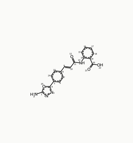 Nc1nnc(-c2ccc(/C=C/C(=O)Nc3ccccc3C(=O)O)cc2)o1